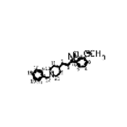 COc1cccc2c(CCC3CCN(Cc4ccccc4)CC3)noc12